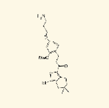 CCc1sc(C(=O)CCc2ccc(OCCCN)cc2OC)c2c1CC(C)(C)CC2